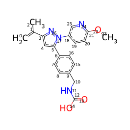 C=C(C)c1cc(-c2ccc(CNC(=O)O)cc2)n(-c2ccc(OC)nc2)n1